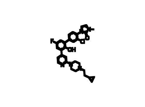 Cn1ccn(-c2ccc(-c3cc(F)cc(-c4ccnc(N5CCN(CCC6CC6)CC5)c4)c3O)cc2Cl)c1=O